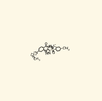 Cc1ccc(S(=O)(=O)c2nnn3c2[nH]c(=O)c2ccc(N4CC5(CCN5C)C4)cc23)c(C)c1